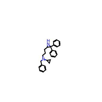 c1ccc(CN(CCCC2NC2(c2ccccc2)c2ccccc2)C2CC2)cc1